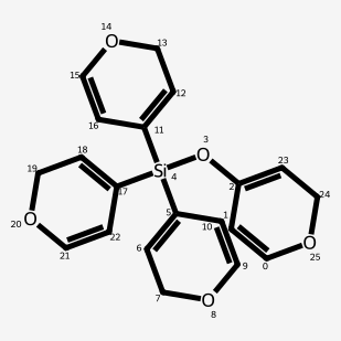 C1=CC(O[Si](C2=CCOC=C2)(C2=CCOC=C2)C2=CCOC=C2)=CCO1